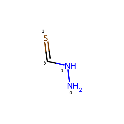 NN[C]=S